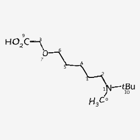 CN(CCCCCOCC(=O)O)C(C)(C)C